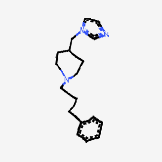 c1ccc(CCCN2CCC(Cn3ccnc3)CC2)cc1